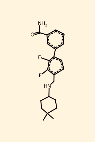 CC1(C)CCC(NCc2ccc(-c3cccc(C(N)=O)c3)c(F)c2F)CC1